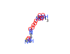 CC1(N2C(=O)c3cccc(NCCOCCOCCOCCOCCC(=O)N4CCN(c5ccc(-c6ccc7c(c6)C(=O)N(C(C(=O)Nc6nccs6)c6ccccc6)C7)cc5)CC4)c3C2=O)CCC(=O)NC1=O